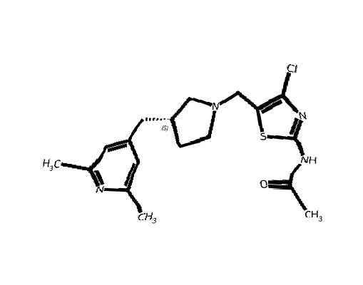 CC(=O)Nc1nc(Cl)c(CN2CC[C@H](Cc3cc(C)nc(C)c3)C2)s1